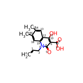 C=CCn1c(=O)c(C(=O)O)c(O)c2cc(C)c(C)cc21